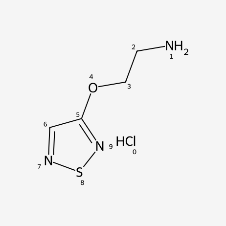 Cl.NCCOc1cnsn1